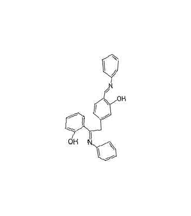 Oc1cc(C/C(=N\c2ccccc2)c2ccccc2O)ccc1/C=N/c1ccccc1